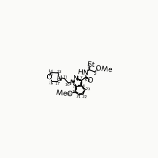 CCC(COC)NC(=O)c1nn(CCN2CCOCC2)c2c(OC)cccc12